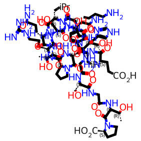 CC(C)C[C@H](NC(=O)[C@H](CCCCN)NC(=O)[C@H](Cc1c[nH]cn1)NC(=O)[C@H](CC(C)C)NC(=O)[C@@H](N)CCC(=O)O)C(=O)N[C@@H](CCC(N)=O)C(=O)N[C@H](C(=O)N[C@@H](Cc1ccc(O)cc1)C(=O)N1CCC[C@H]1C(=O)N[C@@H](CCCNC(=N)N)C(=O)N[C@H](C(=O)N[C@@H](CC(N)=O)C(=O)N[C@H](C(=O)NCC(=O)N[C@@H](CO)C(=O)NCC(=O)N[C@H](C(=O)N1CCC[C@H]1C(=O)O)[C@@H](C)O)[C@@H](C)O)[C@@H](C)O)[C@@H](C)O